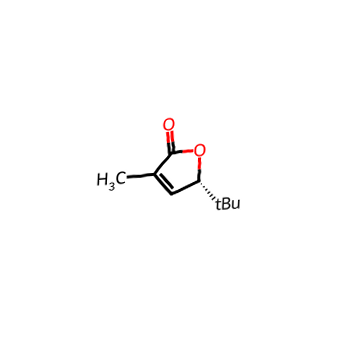 CC1=C[C@@H](C(C)(C)C)OC1=O